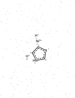 [H+].[H+].[Ni+2].c1c[nH]cn1